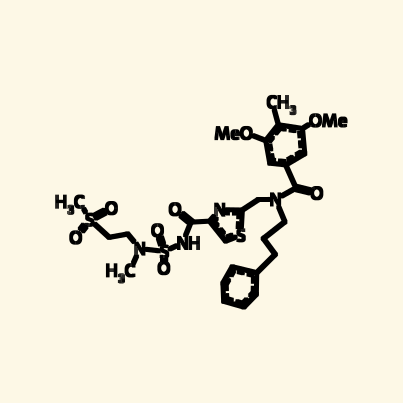 COc1cc(C(=O)N(CCCc2ccccc2)Cc2nc(C(=O)NS(=O)(=O)N(C)CCS(C)(=O)=O)cs2)cc(OC)c1C